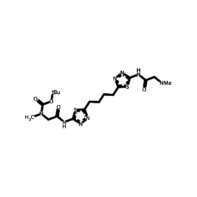 CNCC(=O)Nc1nnc(CCCCc2nnc(NC(=O)CN(C)C(=O)OC(C)(C)C)s2)s1